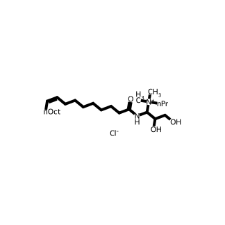 CCCCCCCC/C=C\CCCCCCCC(=O)NC(C(O)CO)[N+](C)(C)CCC.[Cl-]